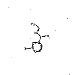 CCNC(C)c1cccc(Br)n1